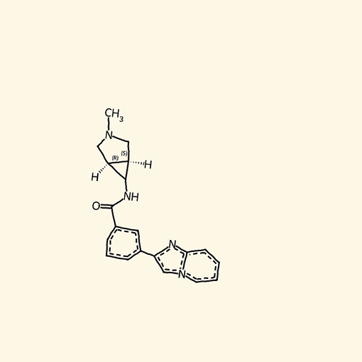 CN1C[C@@H]2C(NC(=O)c3cccc(-c4cn5ccccc5n4)c3)[C@@H]2C1